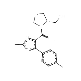 Cc1ccc(-c2sc(C)nc2C(=O)N2CSC[C@H]2CN)cc1